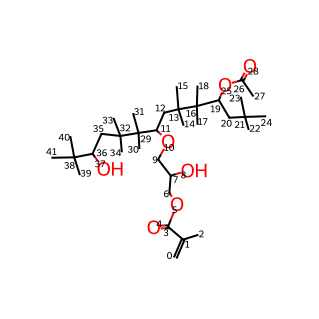 C=C(C)C(=O)OCC(O)COC(CC(C)(C)C(C)(C)C(CC(C)(C)C)OC(C)=O)C(C)(C)C(C)(C)CC(O)C(C)(C)C